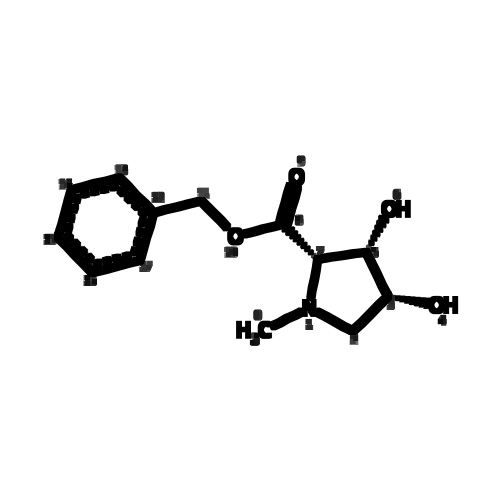 CN1C[C@@H](O)[C@@H](O)[C@H]1C(=O)OCc1ccccc1